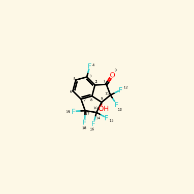 O=C1c2c(F)ccc3c2C(O)(C1(F)F)C(F)(F)C3(F)F